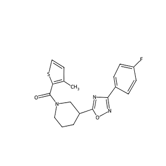 Cc1ccsc1C(=O)N1CCCC(c2nc(-c3ccc(F)cc3)no2)C1